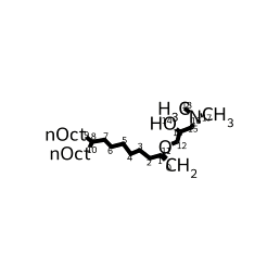 C=C(CCCCCCC(CCCCCCCC)CCCCCCCC)OCC(O)CN(C)C